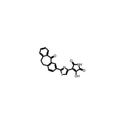 O=C1NC(=O)C(c2csc(-c3ccc4c(c3)C(=O)c3ccccc3CC4)n2)=C1O